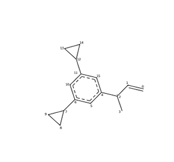 C=C[C](C)c1cc(C2CC2)cc(C2CC2)c1